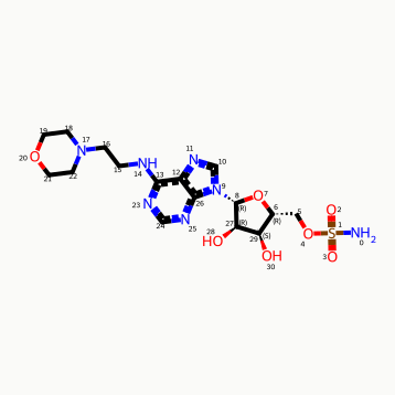 NS(=O)(=O)OC[C@H]1O[C@@H](n2cnc3c(NCCN4CCOCC4)ncnc32)[C@H](O)[C@@H]1O